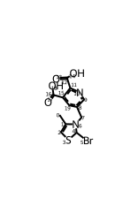 CC1=CSC(Br)N1Cc1cnc(C(=O)O)c(C(=O)O)c1